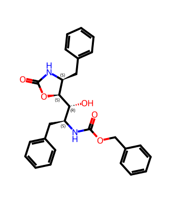 O=C(N[C@@H](Cc1ccccc1)[C@@H](O)[C@H]1OC(=O)N[C@H]1Cc1ccccc1)OCc1ccccc1